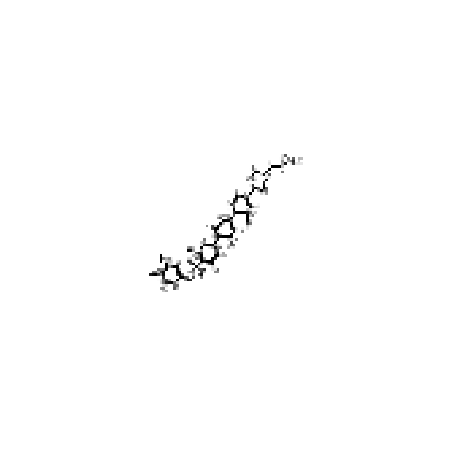 CCOCCC1CSC(c2ccc(-c3ccc(-c4cc(F)c(C(F)(F)Oc5cc(F)c(F)c(F)c5)c(F)c4)c(F)c3)c(F)c2)SC1